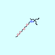 C=CCC(C)(CC=C)CC(C)NCCOCCOCCOCOCC